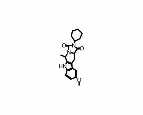 COc1ccc2[nH]c3c(c2c1)CC1C(=O)N(C2CCCCC2)C(=O)N1C3C